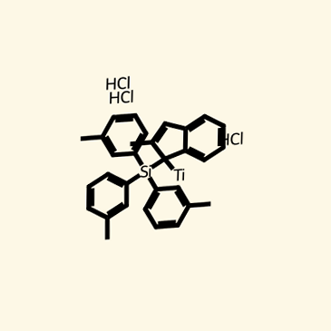 CC1=Cc2ccccc2[C]1([Ti])[Si](c1cccc(C)c1)(c1cccc(C)c1)c1cccc(C)c1.Cl.Cl.Cl